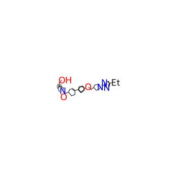 CCc1cnc(N2CCC(COc3ccc(C4=CCC(C(=O)N5CC[C@@H](CO)C5)CC4)cc3)CC2)nc1